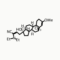 CCN(CC)C(C#N)=CC[C@]1(O)CC[C@H]2[C@@H]3CC=C4C=C(OC)CC[C@]4(C)[C@H]3CC[C@@]21C